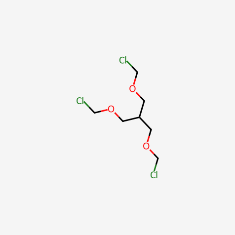 ClCOCC(COCCl)COCCl